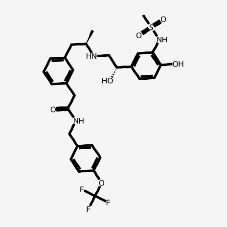 C[C@H](Cc1cccc(CC(=O)NCc2ccc(OC(F)(F)F)cc2)c1)NC[C@@H](O)c1ccc(O)c(NS(C)(=O)=O)c1